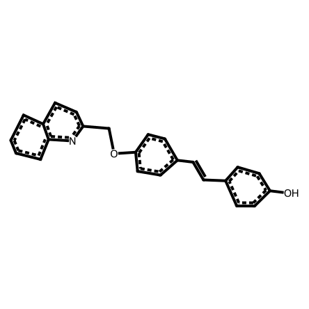 Oc1ccc(/C=C/c2ccc(OCc3ccc4ccccc4n3)cc2)cc1